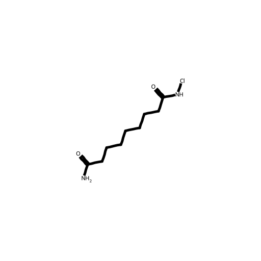 NC(=O)CCCCCCCC(=O)NCl